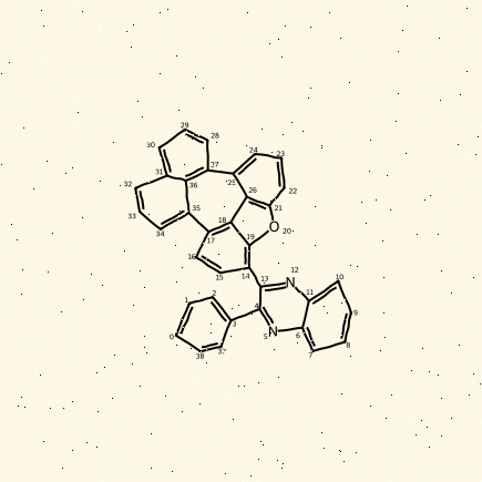 c1ccc(-c2nc3ccccc3nc2-c2ccc3c4c2oc2cccc(c24)-c2cccc4cccc-3c24)cc1